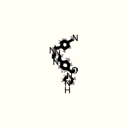 N#Cc1ccc(-c2cnc3cnc(-c4ccc(C(=O)N5CCNCC5)cc4)cn23)cc1